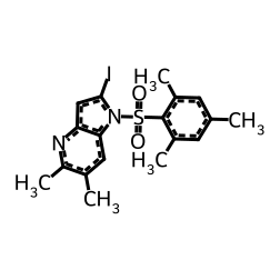 Cc1cc(C)c(S(=O)(=O)n2c(I)cc3nc(C)c(C)cc32)c(C)c1